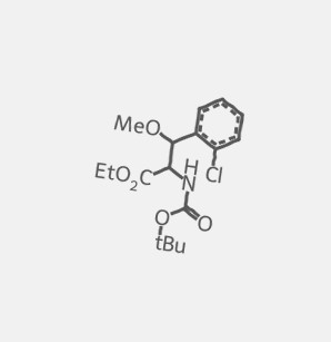 CCOC(=O)C(NC(=O)OC(C)(C)C)C(OC)c1ccccc1Cl